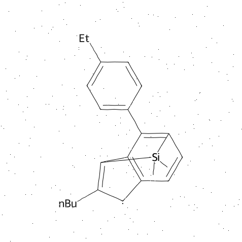 CCCCC1=C2c3c(ccc(c3-c3ccc(CC)cc3)[Si]2(C)C)[CH]1